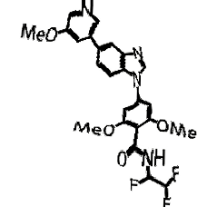 COc1cncc(-c2ccc3c(c2)ncn3-c2cc(OC)c(C(=O)NC(F)C(F)F)c(OC)c2)c1